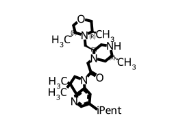 CCCC(C)c1cnc2c(c1)N(C(=O)CN1C[C@@H](C)NC[C@@H]1CN1[C@H](C)COC[C@H]1C)CC2(C)C